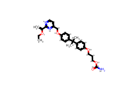 C=C(OCC)c1nccc(COc2ccc(C(C)(C)c3ccc(OCCCOC(N)=O)cc3)cc2)n1